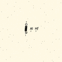 O=[Si].[Al].[Hf]